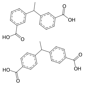 CC(c1ccc(C(=O)O)cc1)c1ccc(C(=O)O)cc1.CC(c1cccc(C(=O)O)c1)c1cccc(C(=O)O)c1